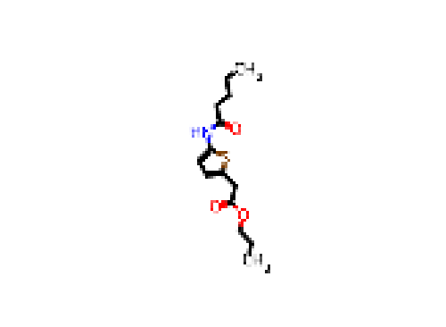 CCCCC(=O)Nc1ccc(CC(=O)OCCC)s1